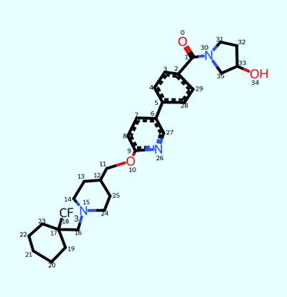 O=C(c1ccc(-c2ccc(OCC3CCN(CC4(C(F)(F)F)CCCCC4)CC3)nc2)cc1)N1CCC(O)C1